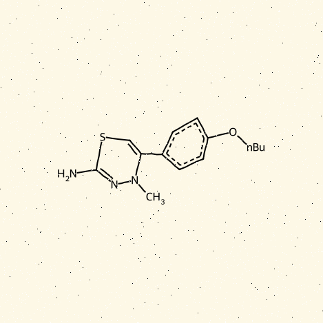 CCCCOc1ccc(C2=CSC(N)=NN2C)cc1